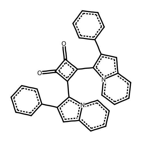 O=c1c(-c2c(-c3ccccc3)cc3ccccn23)c(-c2c(-c3ccccc3)cc3ccccn23)c1=O